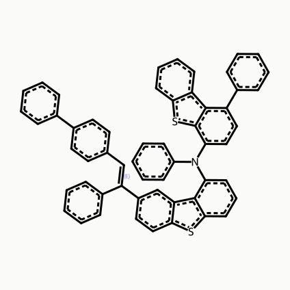 C(=C(/c1ccccc1)c1ccc2sc3cccc(N(c4ccccc4)c4ccc(-c5ccccc5)c5c4sc4ccccc45)c3c2c1)/c1ccc(-c2ccccc2)cc1